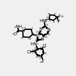 NC(=O)C1CCC(n2c(Nc3c(Cl)cc(F)cc3Cl)nc3cnc(N[C@H]4CCC(F)(F)C4)nc32)CC1